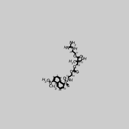 CN(C)c1cccc2c(S(=O)(=O)NCCOC(=O)OCC(C)(CO)C(=O)OCCNC(=N)N)cccc12